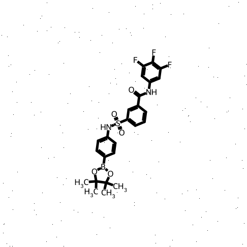 CC1(C)OB(c2ccc(NS(=O)(=O)c3cccc(C(=O)Nc4cc(F)c(F)c(F)c4)c3)cc2)OC1(C)C